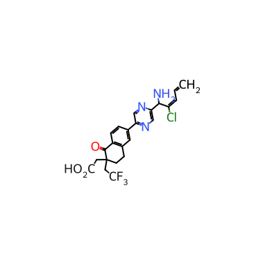 C=C/C=C(/Cl)C(N)c1cnc(-c2ccc3c(c2)CCC(CC(=O)O)(CC(F)(F)F)C3=O)cn1